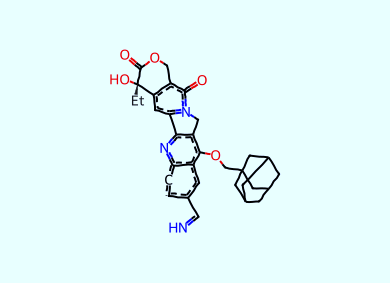 CC[C@@]1(O)C(=O)OCc2c1cc1n(c2=O)Cc2c-1nc1ccc(C=N)cc1c2OCC12CC3CC(CC(C3)C1)C2